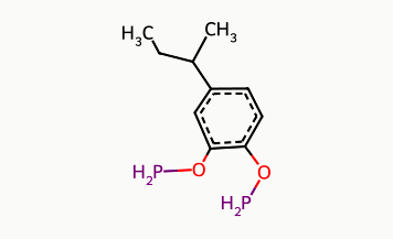 CCC(C)c1ccc(OP)c(OP)c1